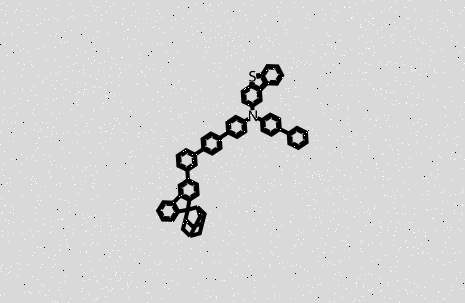 c1ccc(-c2ccc(N(c3ccc(-c4ccc(-c5cccc(-c6ccc7c(c6)-c6ccccc6C76C7CC8CC(C7)CC6C8)c5)cc4)cc3)c3ccc4sc5ccccc5c4c3)cc2)cc1